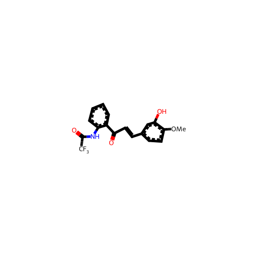 COc1ccc(/C=C/C(=O)c2ccccc2NC(=O)C(F)(F)F)cc1O